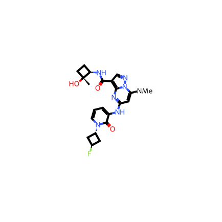 CNc1cc(Nc2cccn([C@H]3C[C@H](F)C3)c2=O)nc2c(C(=O)N[C@@H]3CC[C@@]3(C)O)cnn12